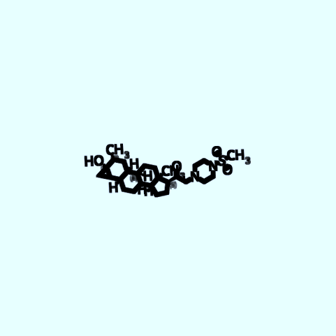 C[C@@H]1C[C@@H]2[C@H]3CC[C@]4(C)[C@@H](C(=O)CN5CCN(S(C)(=O)=O)CC5)CC[C@H]4[C@@H]3CC[C@H]2C2C[C@]21O